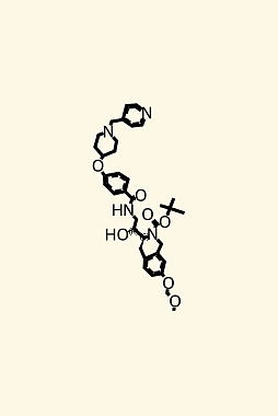 COCOc1ccc2c(c1)CN(C(=O)OC(C)(C)C)[C@H]([C@H](O)CNC(=O)c1ccc(OC3CCN(Cc4ccncc4)CC3)cc1)C2